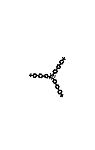 CC(C)(C)c1ccc(-c2ccc(-c3ccc(-c4nc(-c5ccc(-c6ccc(-c7ccc(C(C)(C)C)cc7)cc6)cc5)nc(-c5ccc(-c6ccc(-c7ccc(C(C)(C)C)cc7)cc6)cc5)n4)cc3)cc2)cc1